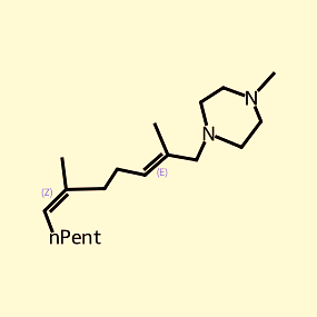 CCCCC/C=C(/C)CC/C=C(\C)CN1CCN(C)CC1